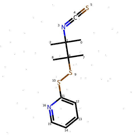 CC(C)(N=C=S)C(C)(C)SSc1ccccn1